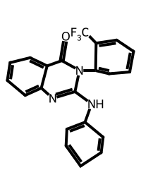 O=c1c2ccccc2nc(Nc2ccccc2)n1-c1ccccc1C(F)(F)F